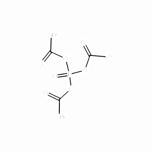 CC(C)C(=O)OP(=O)(OC(=O)C(C)C)OC(=O)C(C)C